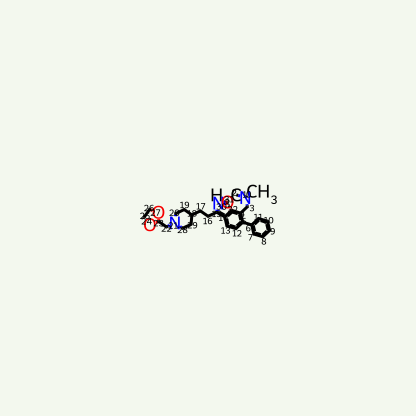 CN(C)Cc1c(-c2ccccc2)ccc2c(CCC3CCN(CC4OCCO4)CC3)noc12